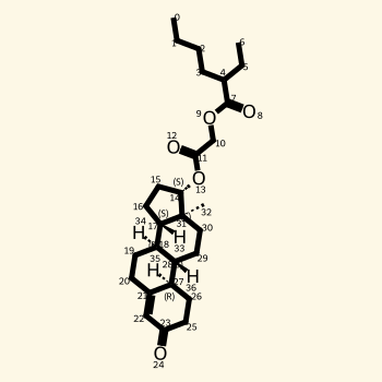 CCCCC(CC)C(=O)OCC(=O)O[C@H]1CC[C@H]2[C@@H]3CCC4=CC(=O)CC[C@@H]4[C@H]3CC[C@]12C